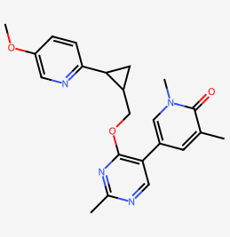 COc1ccc(C2CC2COc2nc(C)ncc2-c2cc(C)c(=O)n(C)c2)nc1